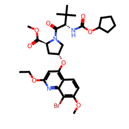 CCOc1cc(O[C@@H]2C[C@@H](C(=O)OC)N(C(=O)[C@@H](NC(=O)OC3CCCC3)C(C)(C)C)C2)c2ccc(OC)c(Br)c2n1